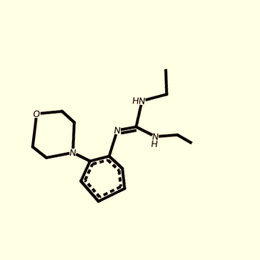 CCNC(=Nc1ccccc1N1CCOCC1)NCC